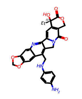 CC[C@@]1(O)C(=O)OCc2c1cc1n(c2=O)Cc2c-1nc1cc3c(cc1c2CNc1ccc(N)cc1)OCO3